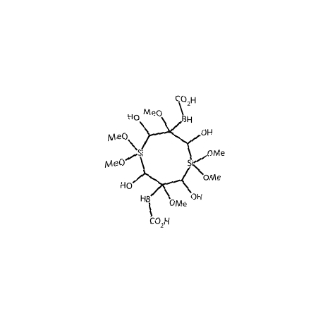 COC1(BC(=O)O)C(O)[Si](OC)(OC)C(O)C(BC(=O)O)(OC)C(O)[Si](OC)(OC)C1O